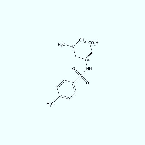 Cc1ccc(S(=O)(=O)N[C@H](CC(=O)O)CN(C)C)cc1